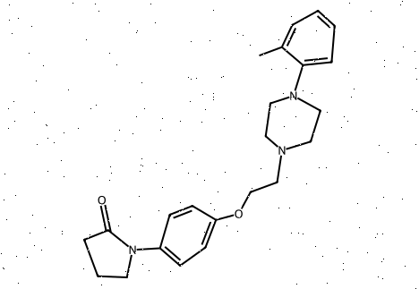 Cc1ccccc1N1CCN(CCOc2ccc(N3CCCC3=O)cc2)CC1